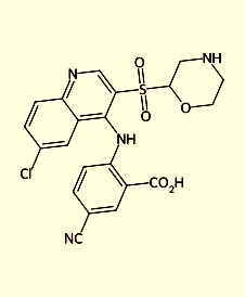 N#Cc1ccc(Nc2c(S(=O)(=O)C3CNCCO3)cnc3ccc(Cl)cc23)c(C(=O)O)c1